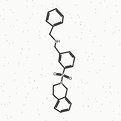 O=S(=O)(c1cccc(CNCc2ccccc2)c1)N1CCc2ccccc2C1